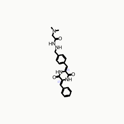 CN(C)CC(=O)NNCc1ccc(/C=c2\[nH]c(=O)/c(=C/c3ccccc3)[nH]c2=O)cc1